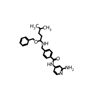 CC(C)CCC(NCc1ccc(C(=O)Nc2ccnc(N)c2)cc1)OCc1ccccc1